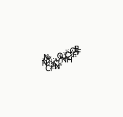 O=C(Nc1ccc(OC(F)(F)F)cc1)C1C=C(c2cncnc2)C(Cl)=NC1